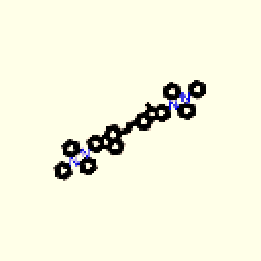 CC1c2cc(/C=C/c3ccc4c5c(cccc35)-c3cc(N5c6ccccc6N(c6ccccc6)c6ccccc65)ccc3-4)ccc2C2C=CC(N3c4ccccc4N(c4ccccc4)c4ccccc43)=CC12